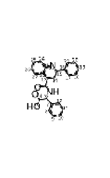 O=C(N[C@@H](C(=O)O)c1ccccc1)c1cc(-c2ccccc2)nc2ccccc12